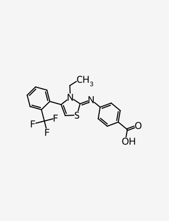 CCn1c(-c2ccccc2C(F)(F)F)csc1=Nc1ccc(C(=O)O)cc1